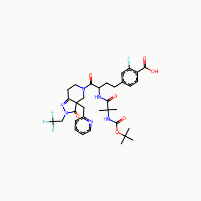 CC(C)(C)OC(=O)NC(C)(C)C(=O)NC(CCc1ccc(C(=O)O)c(F)c1)C(=O)N1CCC2=NN(CC(F)(F)F)C(=O)C2(Cc2ccccn2)C1